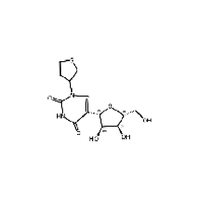 O=c1[nH]c(=O)n(C2CCSC2)cc1[C@@H]1O[C@H](CO)[C@@H](O)[C@H]1O